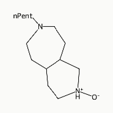 CCCCCN1CCC2CC[NH+]([O-])CC2CC1